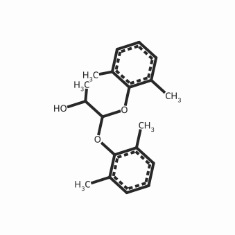 Cc1cccc(C)c1OC(Oc1c(C)cccc1C)C(C)O